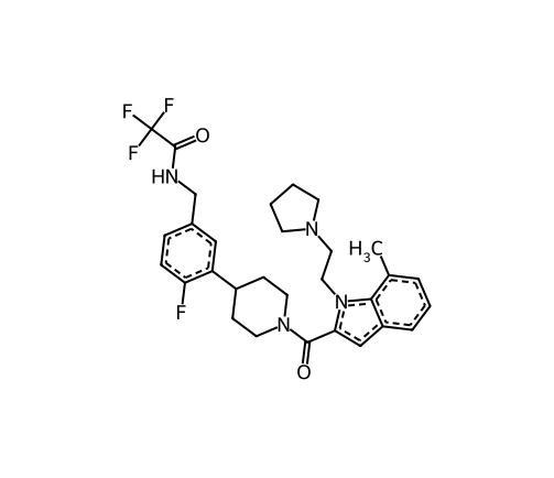 Cc1cccc2cc(C(=O)N3CCC(c4cc(CNC(=O)C(F)(F)F)ccc4F)CC3)n(CCN3CCCC3)c12